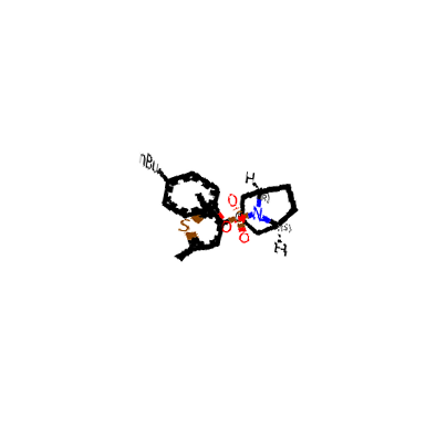 CCCCc1ccc(O[C@@H]2C[C@H]3CC[C@@H](C2)N3S(=O)(=O)c2cc(C)sc2C)cc1